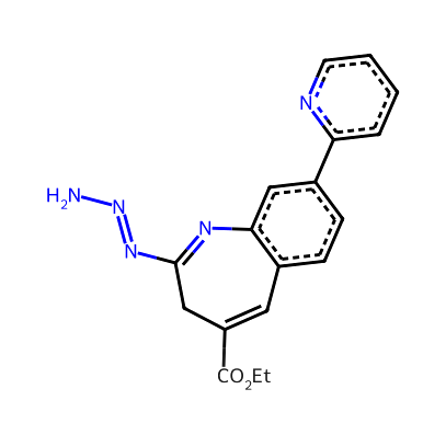 CCOC(=O)C1=Cc2ccc(-c3ccccn3)cc2N=C(N=NN)C1